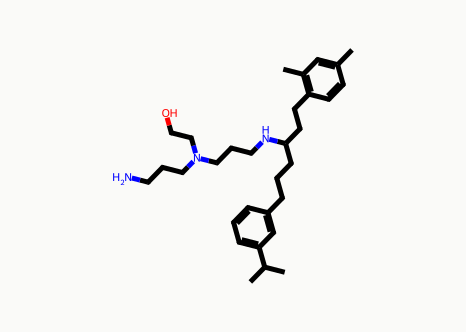 Cc1ccc(CCC(CCCc2cccc(C(C)C)c2)NCCCN(CCO)CCCN)c(C)c1